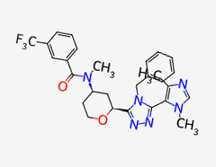 Cc1ncn(C)c1-c1nnc([C@@H]2C[C@H](N(C)C(=O)c3cccc(C(F)(F)F)c3)CCO2)n1Cc1ccccc1